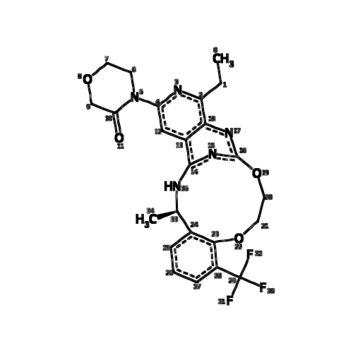 CCc1nc(N2CCOCC2=O)cc2c3nc(nc12)OCCOc1c(cccc1C(F)(F)F)[C@@H](C)N3